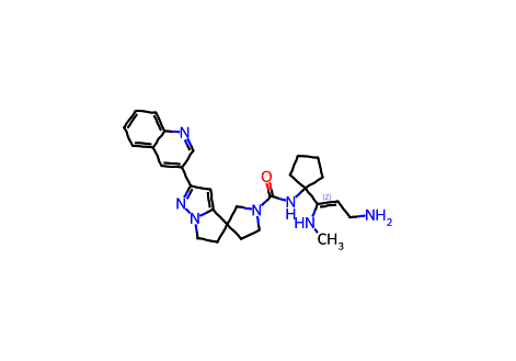 CN/C(=C\CN)C1(NC(=O)N2CCC3(CCn4nc(-c5cnc6ccccc6c5)cc43)C2)CCCC1